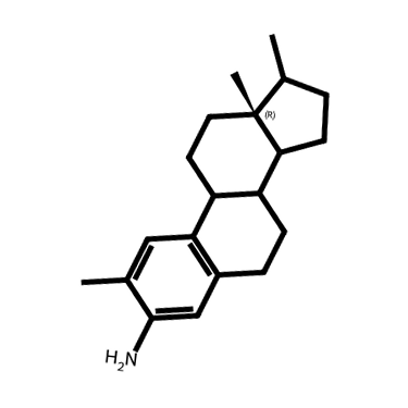 Cc1cc2c(cc1N)CCC1C2CC[C@]2(C)C(C)CCC12